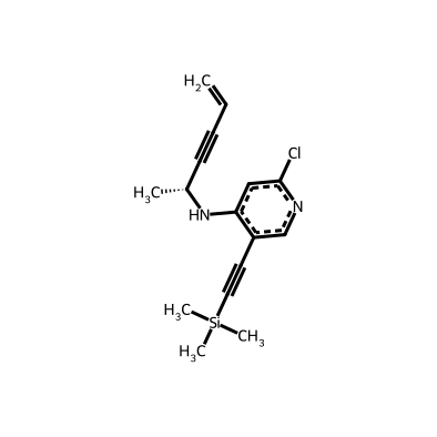 C=CC#C[C@@H](C)Nc1cc(Cl)ncc1C#C[Si](C)(C)C